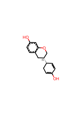 OC1=CCC([C@H]2COc3cc(O)ccc3C2)C=C1